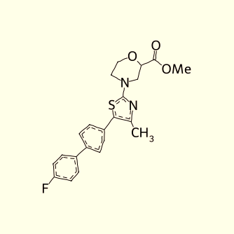 COC(=O)C1CN(c2nc(C)c(-c3ccc(-c4ccc(F)cc4)cc3)s2)CCO1